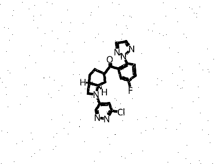 O=C(c1cc(F)ccc1-n1nccn1)C1CC[C@H]2CN(c3cnnc(Cl)c3)[C@H]2C1